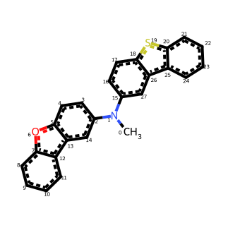 CN(c1ccc2oc3ccccc3c2c1)c1ccc2sc3ccccc3c2c1